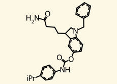 CC(C)c1ccc(NC(=O)Oc2ccc3c(c2)C(CCCC(N)=O)CN3Cc2ccccc2)cc1